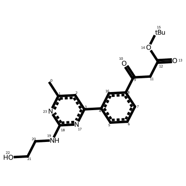 Cc1cc(-c2cccc(C(=O)CC(=O)OC(C)(C)C)c2)nc(NCCO)n1